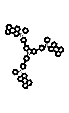 c1ccc(N(c2ccc(-c3ccc(-n4c5ccc(-c6ccc(N(c7ccccc7)c7ccc8c9cccc%10cccc(c%11cccc7c%118)c%109)cc6)cc5c5cc(-c6ccc(N(c7ccccc7)c7ccc8c9cccc%10cccc(c%11cccc7c%118)c%109)cc6)ccc54)cc3)cc2)c2ccc3c4cccc5cccc(c6cccc2c63)c54)cc1